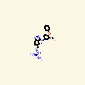 Cc1cc(Nc2ncnc3ccc(/C=N/NC(=N)N)cc23)ccc1Oc1ccccc1